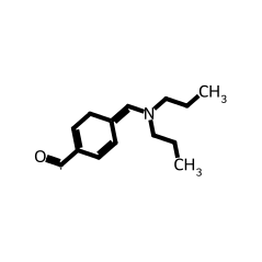 CCCN(C=C1C=CC([C]=O)=CC1)CCC